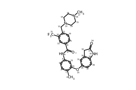 Cc1ccc(NC(=O)c2ccc(CN3CCN(C)CC3)c(C(F)(F)F)c2)cc1Oc1ccc2c(c1)CC(=O)N2